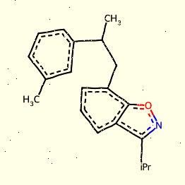 Cc1cccc(C(C)Cc2cccc3c(C(C)C)noc23)c1